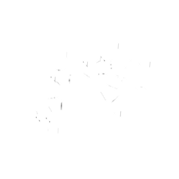 Cc1ccc(-c2c([C@H](OC(C)(C)C)C(=O)O)c(C)nc3c2cc(-c2ccnc(-c4ccc5c(cnn5C)c4)c2)n3C)cc1